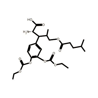 CCOC(=O)Oc1ccc(C(C(C)COC(=O)CCC(C)C)[C@H](N)C(=O)O)cc1OC(=O)OCC